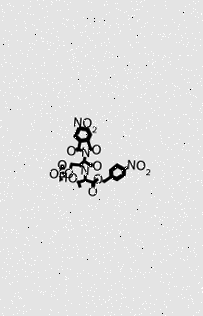 CC(O)C(C(=O)OCc1ccc([N+](=O)[O-])cc1)N1C(=O)C(N2C(=O)c3ccc([N+](=O)[O-])cc3C2=O)C1COS(C)(=O)=O